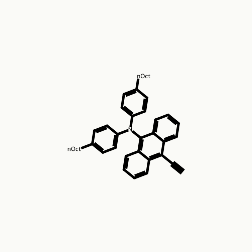 C#Cc1c2ccccc2c(N(c2ccc(CCCCCCCC)cc2)c2ccc(CCCCCCCC)cc2)c2ccccc12